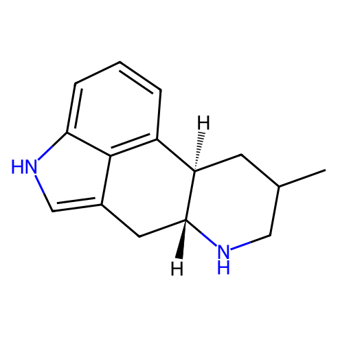 CC1CN[C@@H]2Cc3c[nH]c4cccc(c34)[C@H]2C1